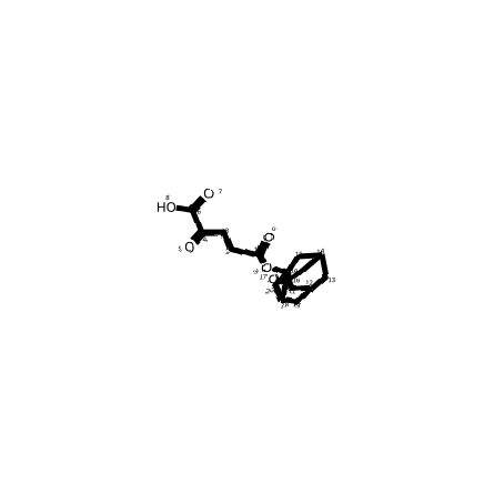 O=C(CCC(=O)C(=O)O)OC12CC3CC(C1)C(=O)C(C3)C2